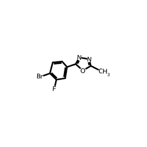 Cc1nnc(-c2ccc(Br)c(F)c2)o1